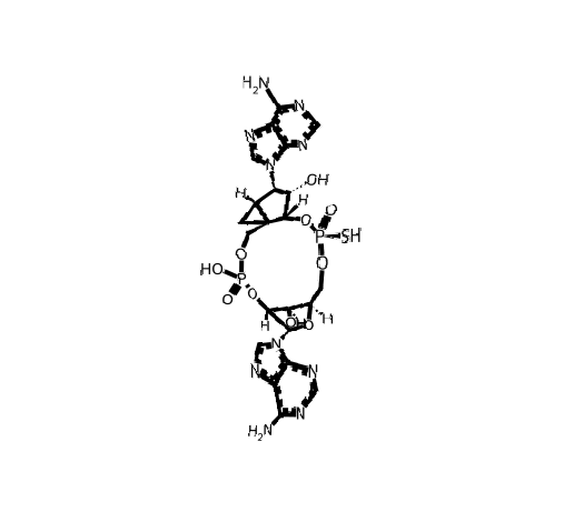 Nc1ncnc2c1ncn2[C@H]1[C@H](O)[C@@H]2O[P@@](=O)(S)OC[C@H]3O[C@@H](n4cnc5c(N)ncnc54)[C@H](OP(=O)(O)OC[C@]24C[C@H]14)[C@@H]3O